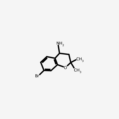 CC1(C)CC(N)c2ccc(Br)cc2O1